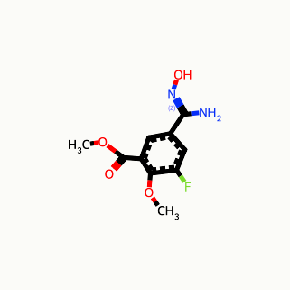 COC(=O)c1cc(/C(N)=N/O)cc(F)c1OC